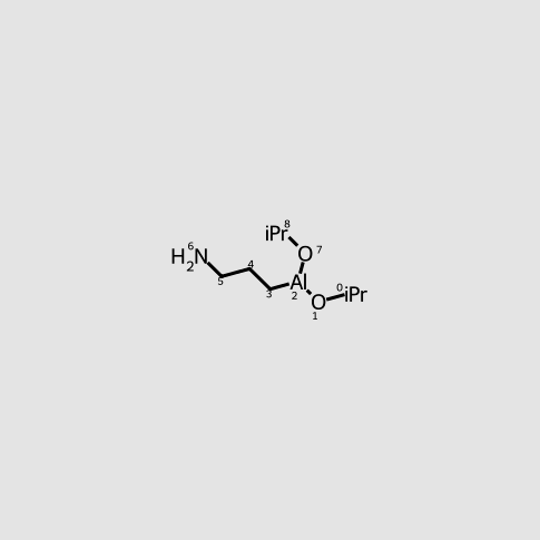 CC(C)[O][Al]([CH2]CCN)[O]C(C)C